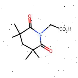 CC1(C)CC(C)(C)C(=O)N(CC(=O)O)C1=O